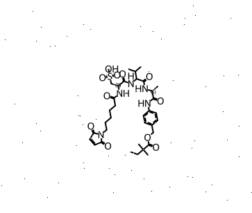 CCC(C)(C)C(=O)OCc1ccc(NC(=O)[C@H](C)NC(=O)C(NC(=O)[C@H](CS(=O)(=O)O)NC(=O)CCCCCN2C(=O)C=CC2=O)C(C)C)cc1